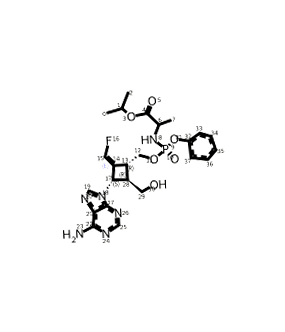 CC(C)OC(=O)C(C)NP(=O)(OC[C@H]1/C(=C\F)[C@@H](n2cnc3c(N)ncnc32)[C@@H]1CO)Oc1ccccc1